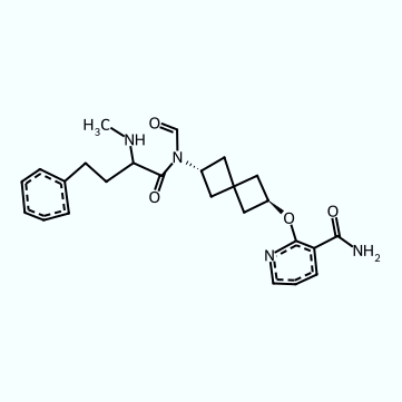 CNC(CCc1ccccc1)C(=O)N(C=O)[C@H]1CC2(C[C@H](Oc3ncccc3C(N)=O)C2)C1